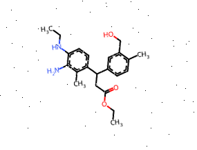 CCNc1ccc(C(CC(=O)OCC)c2ccc(C)c(CO)c2)c(C)c1N